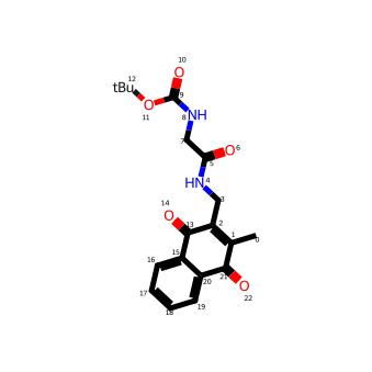 CC1=C(CNC(=O)CNC(=O)OC(C)(C)C)C(=O)c2ccccc2C1=O